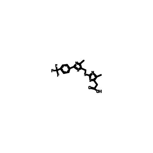 Cc1nc(SCc2sc(-c3ccc(C(F)(F)F)cc3)nc2C)sc1CC(=O)O